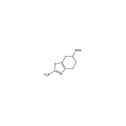 CNC1CCc2nc(N)sc2C1